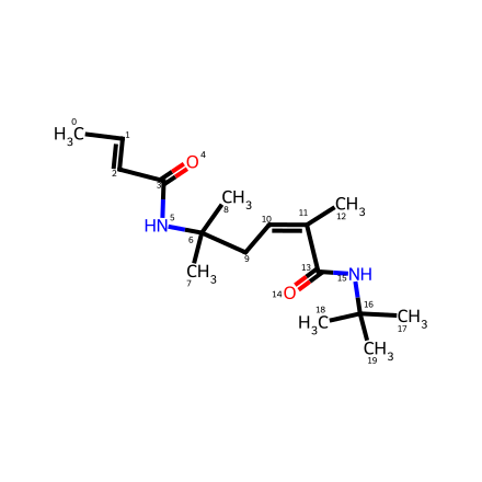 C/C=C/C(=O)NC(C)(C)C/C=C(/C)C(=O)NC(C)(C)C